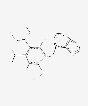 CCC(OC)c1c(Br)c(Oc2ncnc3[nH]nnc23)c(OC)c(C)c1C(C)C